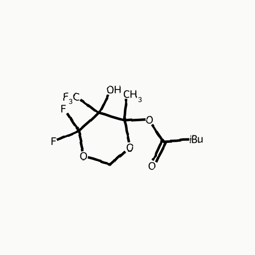 CCC(C)C(=O)OC1(C)OCOC(F)(F)C1(O)C(F)(F)F